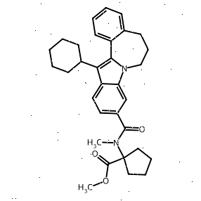 COC(=O)C1(N(C)C(=O)c2ccc3c(C4CCCCC4)c4n(c3c2)CCCc2ccccc2-4)CCCC1